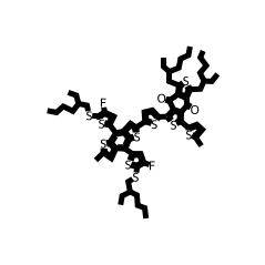 CCCCC(CC)CSc1sc(-c2c3cc(-c4ccc(-c5sc(-c6ccc(C)s6)c6c5C(=O)c5c(CC(CC)CCCC)sc(CC(CC)CCCC)c5C6=O)s4)sc3c(-c3cc(F)c(SCC(CC)CCCC)s3)c3cc(C)sc23)cc1F